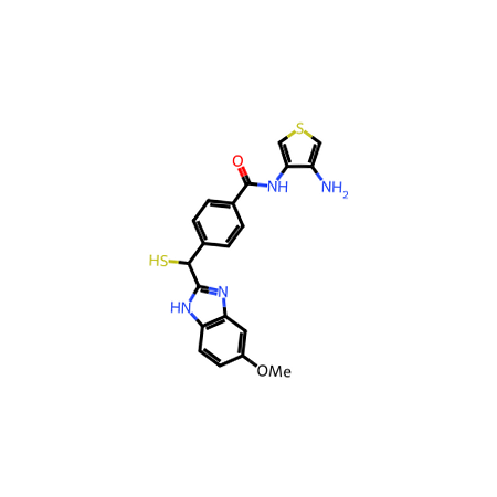 COc1ccc2[nH]c(C(S)c3ccc(C(=O)Nc4cscc4N)cc3)nc2c1